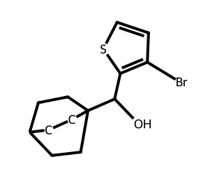 OC(c1sccc1Br)C12CCC(CC1)CC2